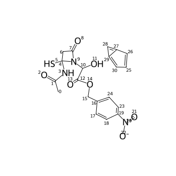 CC(=O)NC1(S)CC(=O)N1C(O)C(=O)OCc1ccc([N+](=O)[O-])cc1.c1cc2cc-2c1